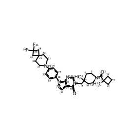 CC1(C(=O)N2CCC(O)(Cn3cnc4c(cnn4-c4ccc(N5CCC6(CC5)CC(F)(F)C6)cc4)c3=O)CC2)CCC1